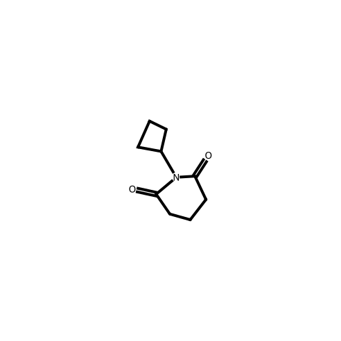 O=C1CCCC(=O)N1C1CCC1